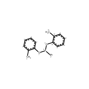 Cc1ccccc1OP(Oc1ccccc1C)C(C)C